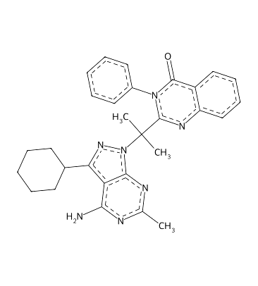 Cc1nc(N)c2c(C3CCCCC3)nn(C(C)(C)c3nc4ccccc4c(=O)n3-c3ccccc3)c2n1